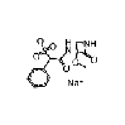 CO[C@@]1(NC(=O)C(c2ccccc2)S(=O)(=O)[O-])CNC1=O.[Na+]